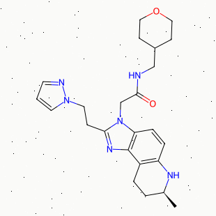 C[C@H]1CCc2c(ccc3c2nc(CCn2cccn2)n3CC(=O)NCC2CCOCC2)N1